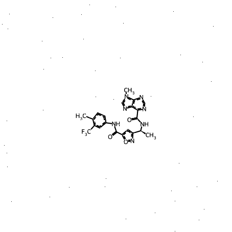 Cc1ccc(NC(=O)c2cc([C@H](C)NC(=O)c3ncnc4c3ncn4C)no2)cc1C(F)(F)F